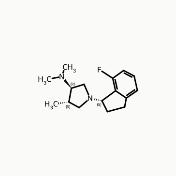 C[C@H]1CN([C@H]2CCc3cccc(F)c32)C[C@@H]1N(C)C